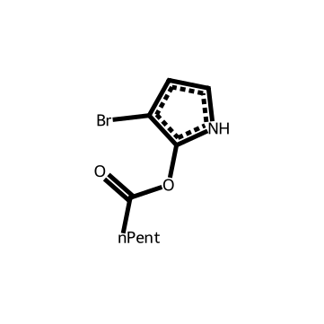 CCCCCC(=O)Oc1[nH]ccc1Br